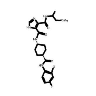 COCC(C)NC(=O)c1nc[nH]c1C(=O)N[C@H]1CC[C@H](C(=O)Nc2ccc(F)cc2Cl)CC1